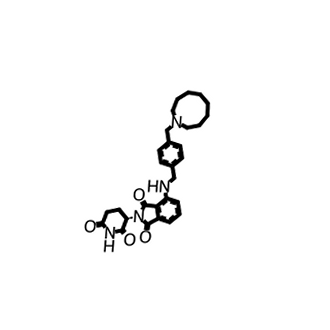 O=C1CC[C@H](N2C(=O)c3cccc(NCc4ccc(CN5CCCCCCCC5)cc4)c3C2=O)C(=O)N1